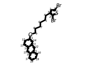 Brc1cc(CCCCCCOc2ccc3cc4ccccc4cc3c2)c(Br)s1